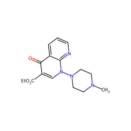 CCOC(=O)c1cn(N2CCN(C)CC2)c2ncccc2c1=O